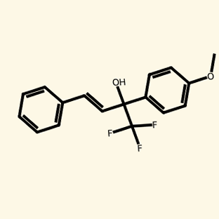 COc1ccc(C(O)(/C=C/c2ccccc2)C(F)(F)F)cc1